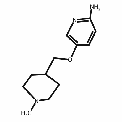 CN1CCC(COc2ccc(N)nc2)CC1